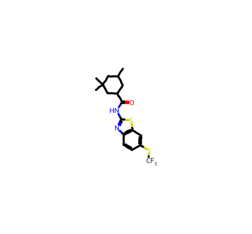 CC1CC(C(=O)Nc2nc3ccc(SC(F)(F)F)cc3s2)CC(C)(C)C1